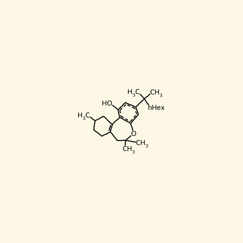 CCCCCCC(C)(C)c1cc(O)c2c(c1)OC(C)(C)CC1=C2CC(C)CC1